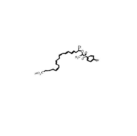 CC[C@H](C/C=C/C=C/C=C\C/C=C\C/C=C\CCCC(=O)O)OC(C)S(=O)(=O)c1ccc(Br)cc1